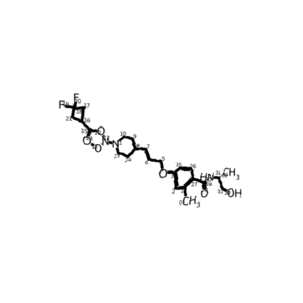 Cc1cc(OCCCC2CCN(N3OOC(C4CC(F)(F)C4)O3)CC2)ccc1C(=O)N[C@H](C)CO